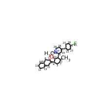 Cc1ccc2c(oc3cc4ccccc4cc32)c1-c1cc(-c2ccc(F)cc2)cc[n+]1C